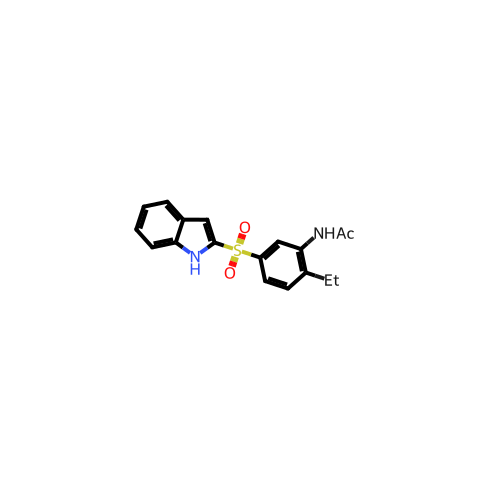 CCc1ccc(S(=O)(=O)c2cc3ccccc3[nH]2)cc1NC(C)=O